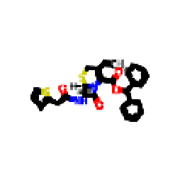 C=CC1=C(C(=O)OC(c2ccccc2)c2ccccc2)N2C(=O)[C@@H](NC(=O)Cc3cccs3)[C@H]2SC1